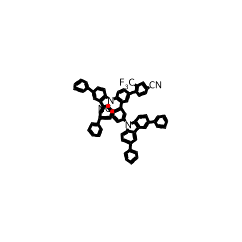 N#Cc1ccc(-c2ccc(-n3c4ccc(-c5ccccc5)cc4c4cc(-c5ccccc5)ccc43)c(-c3cc(-n4c5ccc(-c6ccccc6)cc5c5cc(-c6ccccc6)ccc54)ccc3C#N)c2)c(C(F)(F)F)c1